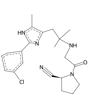 Cc1[nH]c(-c2cccc(Cl)c2)nc1CC(C)(C)NCC(=O)N1CCC[C@H]1C#N